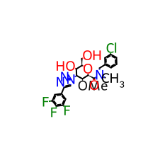 CO[C@@H]1[C@@H](n2cc(-c3cc(F)c(F)c(F)c3)nn2)[C@@H](O)[C@@H](CO)O[C@H]1C(=O)N(C)Cc1cccc(Cl)c1